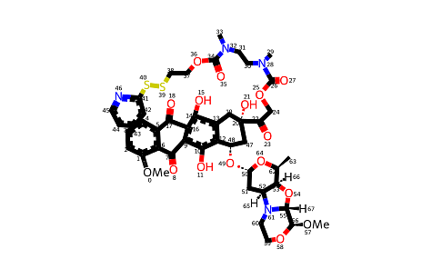 COc1cccc2c1C(=O)c1c(O)c3c(c(O)c1C2=O)C[C@@](O)(C(=O)COC(=O)N(C)CCN(C)C(=O)OCCSSc1ccccn1)C[C@@H]3O[C@H]1C[C@H]2[C@H](O[C@@H]3[C@@H](OC)OCCN32)[C@H](C)O1